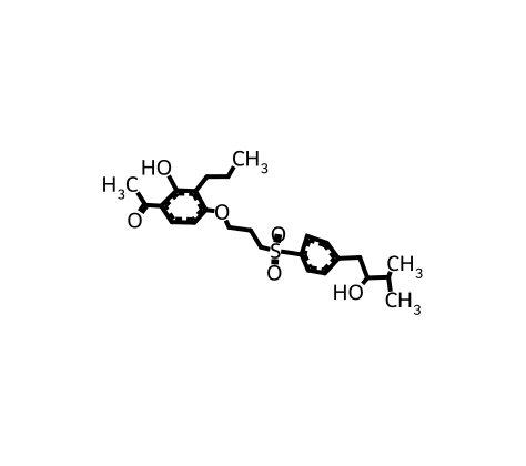 CCCc1c(OCCCS(=O)(=O)c2ccc(CC(O)C(C)C)cc2)ccc(C(C)=O)c1O